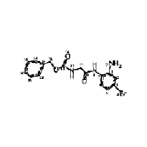 Nc1cc(Br)ccc1NC(=O)CNC(=O)OCc1ccccc1